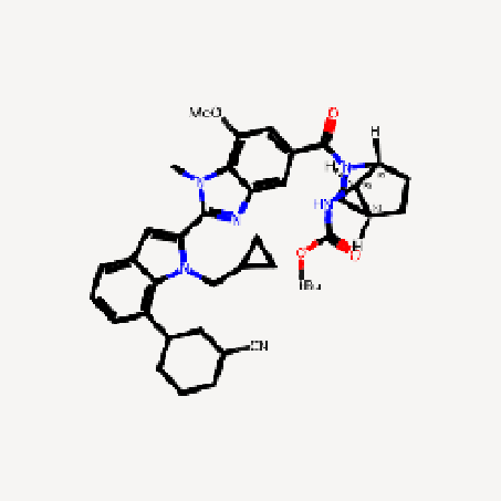 COc1cc(C(=O)N2C[C@H]3CC[C@@H]2[C@@H]3NC(=O)OC(C)(C)C)cc2nc(-c3cc4cccc(C5CCCC(C#N)C5)c4n3CC3CC3)n(C)c12